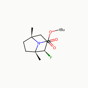 CC(C)(C)OC(=O)N1[C@]2(C)CC[C@@]1(C)[C@H](F)C(=O)C2